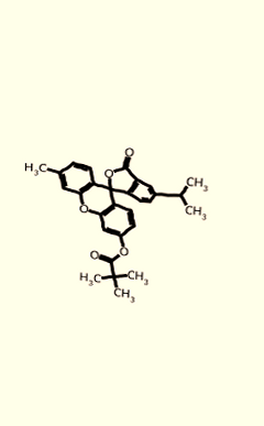 Cc1ccc2c(c1)Oc1cc(OC(=O)C(C)(C)C)ccc1C21OC(=O)c2cc(C(C)C)ccc21